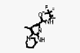 Cc1cc(C(=O)N[C@H](C)C(F)(F)F)nc2c1N1CCCC(C1)N2